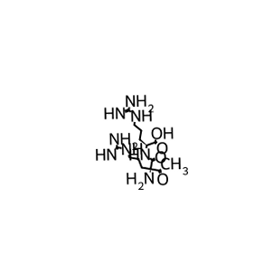 CC(=O)[C@@](N)(CCCNC(=N)N)C(=O)N[C@@H](CCCNC(=N)N)C(=O)O